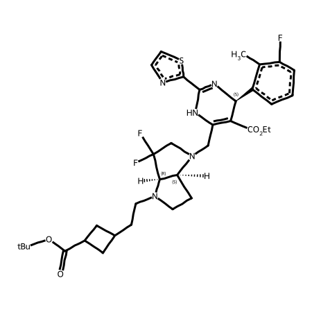 CCOC(=O)C1=C(CN2CC(F)(F)[C@H]3[C@@H]2CCN3CCC2CC(C(=O)OC(C)(C)C)C2)NC(c2nccs2)=N[C@H]1c1cccc(F)c1C